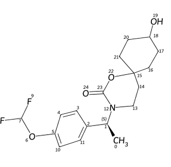 C[C@@H](c1ccc(OC(F)F)cc1)N1CCC2(CCC(O)CC2)OC1=O